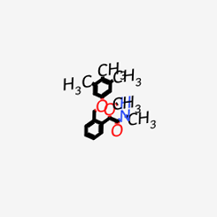 CNC(=O)C(OC)c1ccccc1COc1cc(C)c(C)c(C)c1